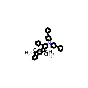 CC1(C)c2ccccc2-c2cc3c(cc21)-c1c(-c2ccccc2)cc(N(c2ccc(-c4ccccc4)cc2)c2ccc(-c4ccccc4)cc2)cc1C3(C)C